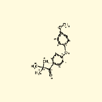 COc1ccc(Oc2ccc(C(=O)C(C)(C)C)cc2)cc1